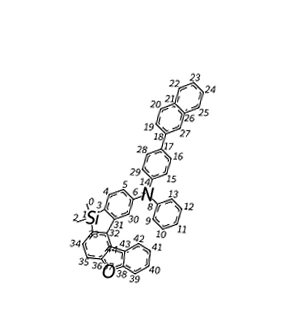 C[Si]1(C)c2ccc(N(c3ccccc3)c3ccc(-c4ccc5ccccc5c4)cc3)cc2-c2c1ccc1oc3ccccc3c21